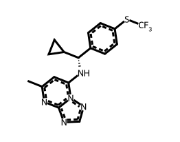 Cc1cc(N[C@@H](c2ccc(SC(F)(F)F)cc2)C2CC2)n2ncnc2n1